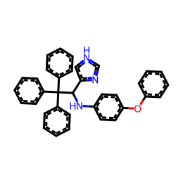 c1ccc(Oc2ccc(NC(c3c[nH]cn3)C(c3ccccc3)(c3ccccc3)c3ccccc3)cc2)cc1